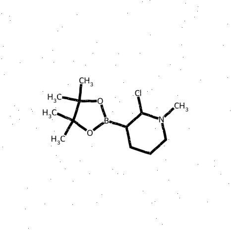 CN1CCCC(B2OC(C)(C)C(C)(C)O2)C1Cl